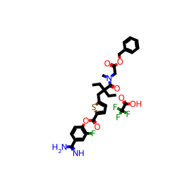 CCC(CC)(Cc1ccc(C(=O)Oc2ccc(C(=N)N)cc2F)s1)C(=O)N(C)CC(=O)OCc1ccccc1.O=C(O)C(F)(F)F